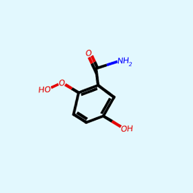 NC(=O)c1cc(O)ccc1OO